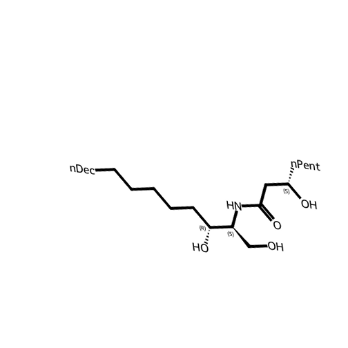 CCCCCCCCCCCCCCC[C@@H](O)[C@H](CO)NC(=O)C[C@@H](O)CCCCC